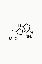 CO[C@H]1CC2(C[C@@H]1C)[C@H]1CC[C@H](C1)[C@@H]2N